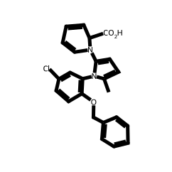 Cc1ccc(N2C=CC=CC2C(=O)O)n1-c1cc(Cl)ccc1OCc1ccccc1